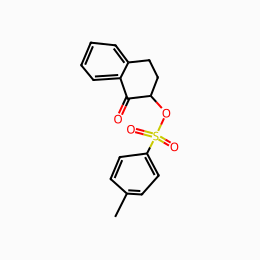 Cc1ccc(S(=O)(=O)OC2CCc3ccccc3C2=O)cc1